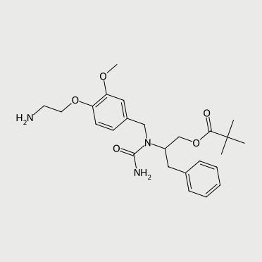 COc1cc(CN(C(N)=O)C(COC(=O)C(C)(C)C)Cc2ccccc2)ccc1OCCN